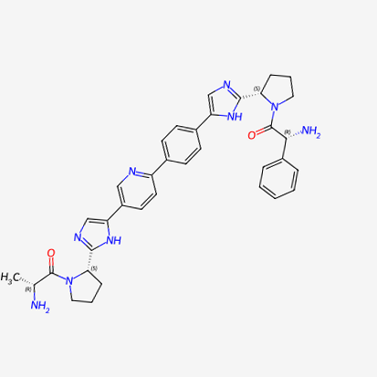 C[C@@H](N)C(=O)N1CCC[C@H]1c1ncc(-c2ccc(-c3ccc(-c4cnc([C@@H]5CCCN5C(=O)[C@H](N)c5ccccc5)[nH]4)cc3)nc2)[nH]1